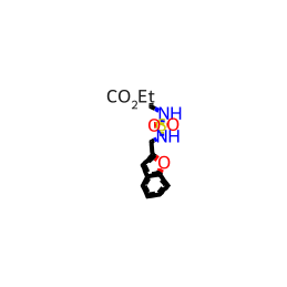 CCOC(=O)CNS(=O)(=O)NCc1cc2ccccc2o1